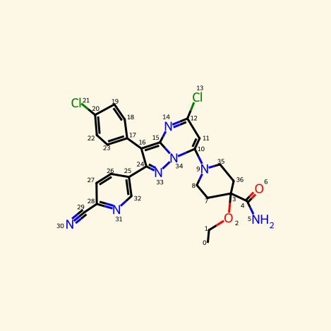 CCOC1(C(N)=O)CCN(c2cc(Cl)nc3c(-c4ccc(Cl)cc4)c(-c4ccc(C#N)nc4)nn23)CC1